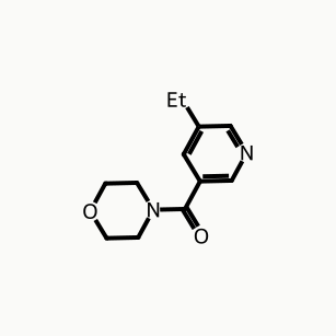 CCc1cncc(C(=O)N2CCOCC2)c1